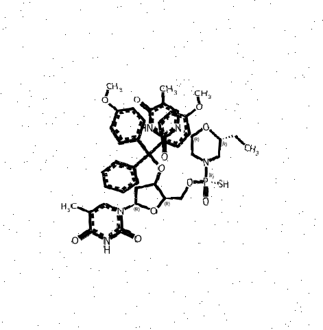 CC[C@@H]1CN([P@](=O)(S)OC[C@H]2O[C@@H](n3cc(C)c(=O)[nH]c3=O)CC2OC(c2ccccc2)(c2ccc(OC)cc2)c2ccc(OC)cc2)C[C@H](n2cc(C)c(=O)[nH]c2=O)O1